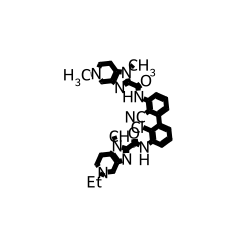 CCN1CCc2c(nc(C(=O)Nc3cccc(-c4cccc(NC(=O)c5nc6c(n5C)CCN(C)C6)c4C#N)c3Cl)n2C)C1